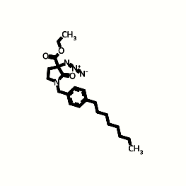 CCCCCCCCc1ccc(CN2CCC(N=[N+]=[N-])(C(=O)OCC)C2=O)cc1